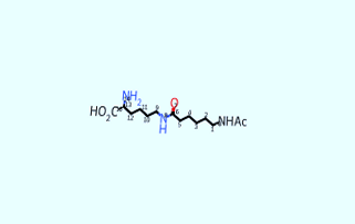 CC(=O)NCCCCCC(=O)NCCCC[C@H](N)C(=O)O